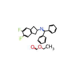 CCOC=O.Fc1cc2c(cc1F)CC(N=C(c1ccccc1)c1ccccc1)C2